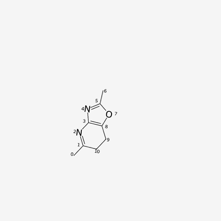 CC1=Nc2nc(C)oc2CC1